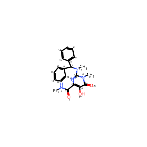 CCNC(=O)c1nc(N(C)C(c2ccccc2)c2ccccc2)n(C)c(=O)c1O